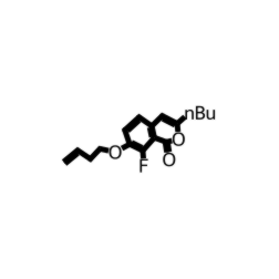 C=CCCOc1ccc2cc(CCCC)oc(=O)c2c1F